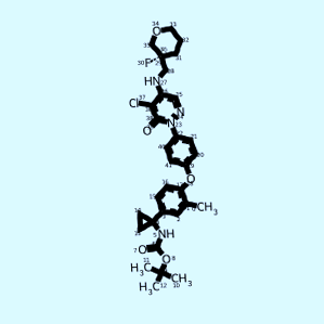 Cc1cc(C2(NC(=O)OC(C)(C)C)CC2)ccc1Oc1ccc(-n2ncc(NC[C@]3(F)CCCOC3)c(Cl)c2=O)cc1